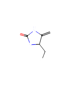 C=C1NC(=O)NC1CC(=O)O